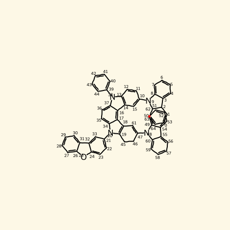 C1=CC2c3ccccc3N(c3ccc4c(c3)c3c5c6c(n(-c7ccc8oc9ccccc9c8c7)c5ccc3n4-c3ccccc3)CCC(n3c4ccccc4c4ccccc43)=C6)C2C=C1